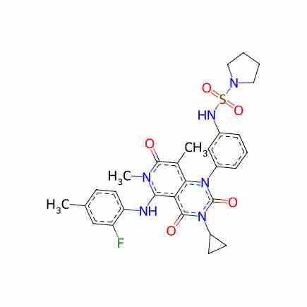 Cc1ccc(Nc2c3c(=O)n(C4CC4)c(=O)n(-c4cccc(NS(=O)(=O)N5CCCC5)c4)c3c(C)c(=O)n2C)c(F)c1